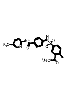 COC(=O)c1cc(S(=O)(=O)Nc2ccc(C(=O)Nc3ccc(C(F)(F)F)cn3)cc2)ccc1C